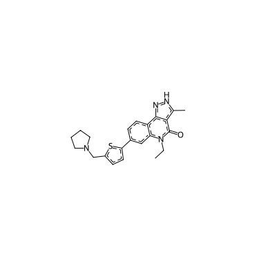 CCn1c(=O)c2c(C)[nH]nc2c2ccc(-c3ccc(CN4CCCC4)s3)cc21